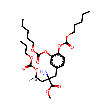 CCCCCOC(=O)Oc1ccc(CC(N)(C[C@H](C)OC(=O)OCCC)C(=O)OC)cc1OC(=O)OCCCCC